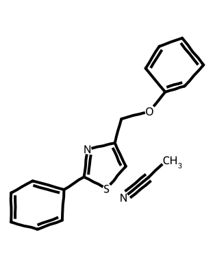 CC#N.c1ccc(OCc2csc(-c3ccccc3)n2)cc1